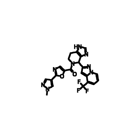 Cn1cc(-c2ncc(C(=O)N3CCc4[nH]cnc4C3c3cc4c(C(F)(F)F)cccn4n3)o2)cn1